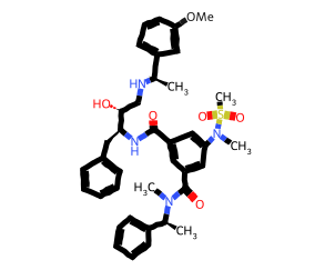 COc1cccc([C@@H](C)NC[C@@H](O)[C@H](Cc2ccccc2)NC(=O)c2cc(C(=O)N(C)[C@@H](C)c3ccccc3)cc(N(C)S(C)(=O)=O)c2)c1